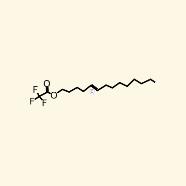 CCCCCCCC/C=C/CCCCOC(=O)C(F)(F)F